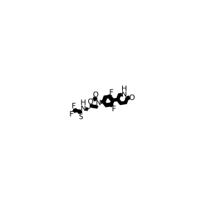 O=C1CCC(c2c(F)cc(N3C[C@H](CNC(=S)C(F)F)OC3=O)cc2F)CN1